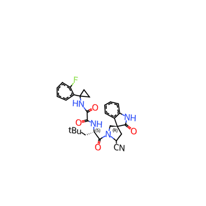 CC(C)(C)C[C@H](NC(=O)C(=O)NC1(c2ccccc2F)CC1)C(=O)N1C[C@]2(CC1C#N)C(=O)Nc1ccccc12